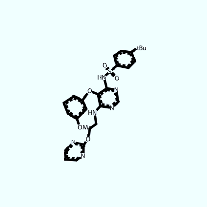 COc1cccc(Oc2c(NCCOc3ncccn3)ncnc2NS(=O)(=O)c2ccc(C(C)(C)C)cc2)c1